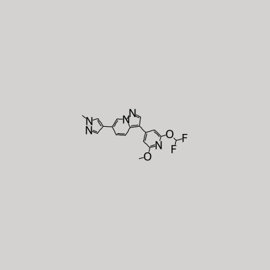 COc1cc(-c2cnn3cc(-c4cnn(C)c4)ccc23)cc(OC(F)F)n1